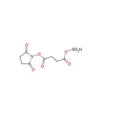 O=C(CCC(=O)OS(=O)(=O)O)ON1C(=O)CCC1=O